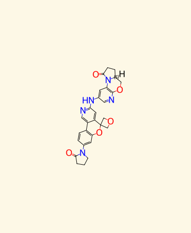 O=C1CCCN1c1ccc2c(c1)OC1(COC1)c1cc(Nc3cnc4c(c3)N3C(=O)CC[C@H]3CO4)ncc1-2